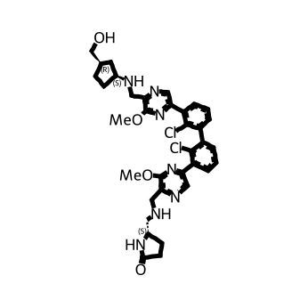 COc1nc(-c2cccc(-c3cccc(-c4cnc(CN[C@H]5CC[C@@H](CO)C5)c(OC)n4)c3Cl)c2Cl)cnc1CNC[C@@H]1CCC(=O)N1